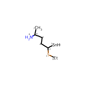 CCS[CH]([SnH])CCC(C)N